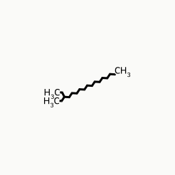 CCCCCCCCCCCCCCC(CC)CC